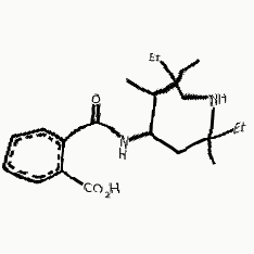 CCC1(C)CC(NC(=O)c2ccccc2C(=O)O)C(C)C(C)(CC)N1